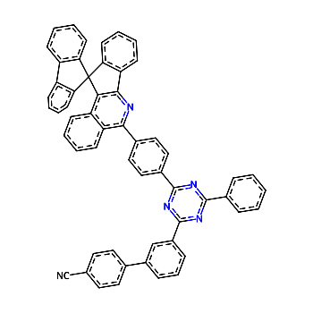 N#Cc1ccc(-c2cccc(-c3nc(-c4ccccc4)nc(-c4ccc(-c5nc6c(c7ccccc57)C5(c7ccccc7-c7ccccc75)c5ccccc5-6)cc4)n3)c2)cc1